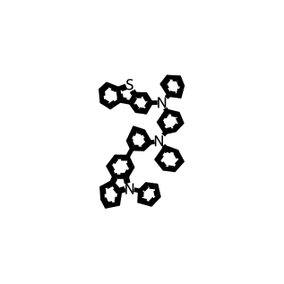 c1ccc(N(c2cccc(-c3ccc4c5ccccc5n(-c5ccccc5)c4c3)c2)c2cccc(N(c3ccccc3)c3ccc4c(c3)sc3ccccc34)c2)cc1